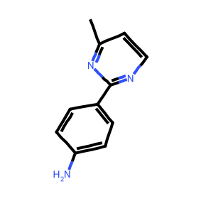 Cc1ccnc(-c2ccc(N)cc2)n1